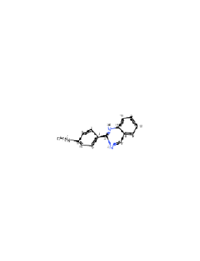 CCCCCCc1ccc(-c2ncc3ccccc3n2)cc1